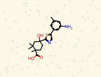 Cc1cc(N)cc(-c2cnc(C3(O)CCC(C)(C(=O)O)C(C)(C)C3)s2)c1